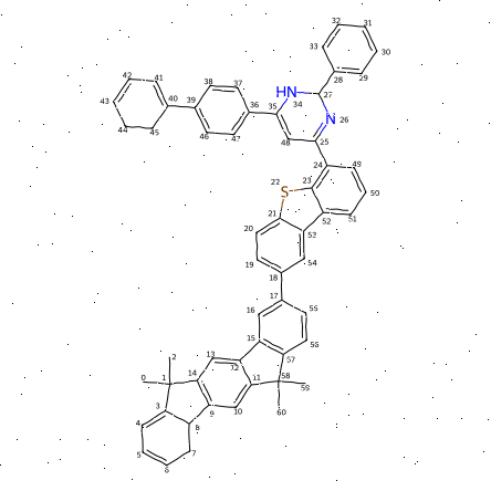 CC1(C)C2=CC=CCC2c2cc3c(cc21)-c1cc(-c2ccc4sc5c(C6=NC(c7ccccc7)NC(c7ccc(C8=CC=CCC8)cc7)=C6)cccc5c4c2)ccc1C3(C)C